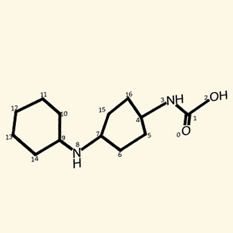 O=C(O)NC1CCC(NC2CCCCC2)CC1